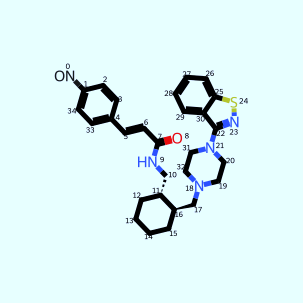 O=Nc1ccc(/C=C/C(=O)NC[C@H]2CCCC[C@@H]2CN2CCN(c3nsc4ccccc34)CC2)cc1